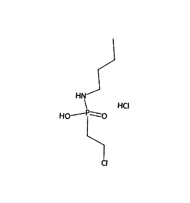 CCCCNP(=O)(O)CCCl.Cl